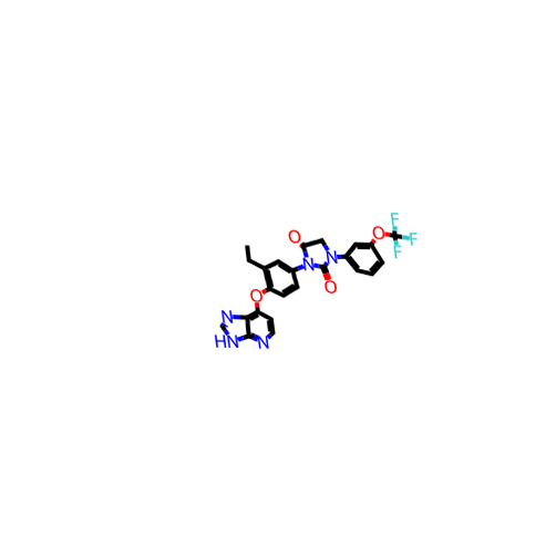 CCc1cc(N2C(=O)CN(c3cccc(OC(F)(F)F)c3)C2=O)ccc1Oc1ccnc2[nH]cnc12